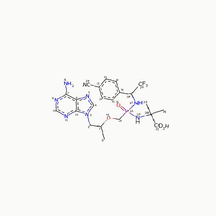 CC(Cn1cnc2c(N)ncnc21)OCP(=O)(NC(c1ccc(C#N)cc1)C(F)(F)F)NC(C)(C)C(=O)O